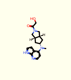 CN(c1ccnc2[nH]ccc12)[C@@H]1C[C@@H]2CN(C(=O)CO)C[C@@H]2C1